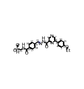 CCOc1ccc(-c2cncc(C(=O)N/N=C/c3ccc(C(=O)NC[SH](=O)=O)cc3)n2)cc1